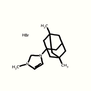 Br.CN1C=CN(C23CC4CC(C)(CC(C)(C4)C2)C3)C1